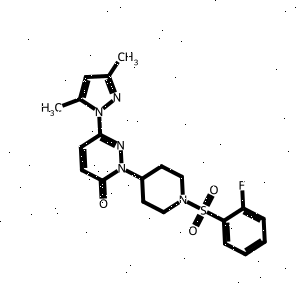 Cc1cc(C)n(-c2ccc(=O)n(C3CCN(S(=O)(=O)c4ccccc4F)CC3)n2)n1